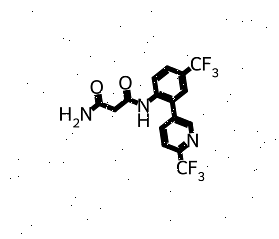 NC(=O)CC(=O)Nc1ccc(C(F)(F)F)cc1-c1ccc(C(F)(F)F)nc1